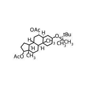 CC(=O)O[C@H]1C[C@@H]2[C@H](CC[C@]3(C)[C@@H](OC(C)=O)CC[C@@H]23)[C@@]2(C)CC[C@H](O[Si](C)(C)C(C)(C)C)C[C@H]12